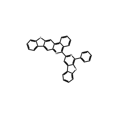 c1ccc(-c2nc(-c3nc4cc5c(cc4c4ccccc34)sc3ccccc35)cc3c2sc2ccccc23)cc1